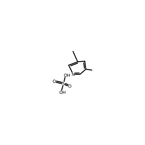 Cc1cncc(C)c1.O=S(=O)(O)O